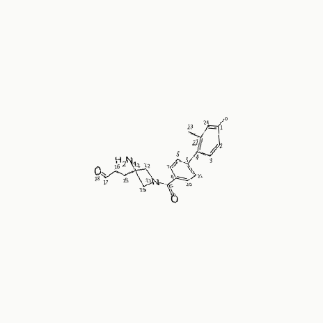 Cc1ccc(-c2ccc(C(=O)N3CC(N)(CCC=O)C3)cc2)c(C)c1